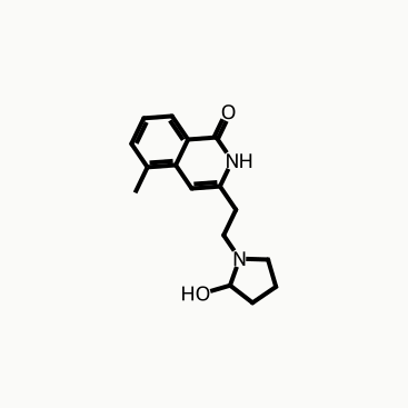 Cc1cccc2c(=O)[nH]c(CCN3CCCC3O)cc12